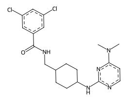 CN(C)c1ccnc(NC2CCC(CNC(=O)c3cc(Cl)cc(Cl)c3)CC2)n1